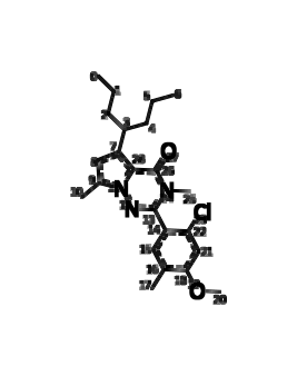 CCCC(CCC)c1cc(C)n2nc(-c3cc(C)c(OC)cc3Cl)n(C)c(=O)c12